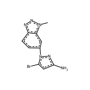 Cn1nnc2ccc(-n3nc(N)cc3Br)cc21